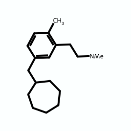 CNCCc1cc(CC2CCCCCC2)ccc1C